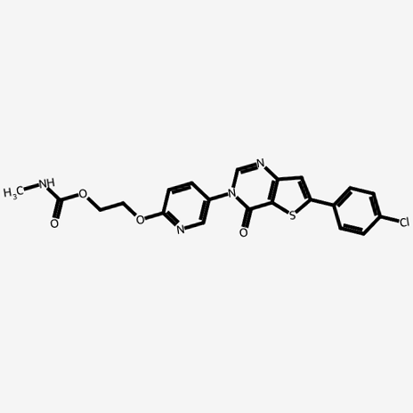 CNC(=O)OCCOc1ccc(-n2cnc3cc(-c4ccc(Cl)cc4)sc3c2=O)cn1